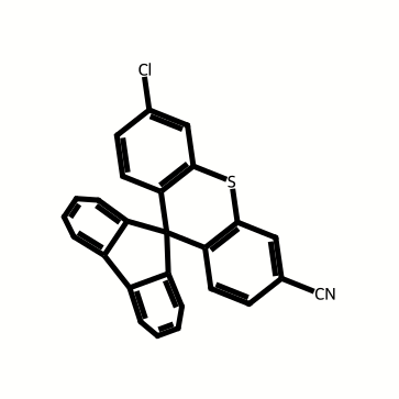 N#Cc1ccc2c(c1)Sc1cc(Cl)ccc1C21c2ccccc2-c2ccccc21